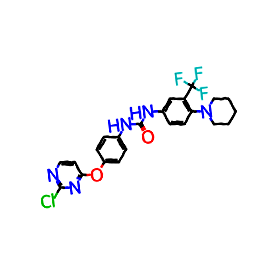 O=C(Nc1ccc(Oc2ccnc(Cl)n2)cc1)Nc1ccc(N2CCCCC2)c(C(F)(F)F)c1